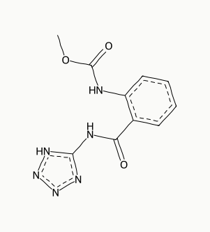 COC(=O)Nc1ccccc1C(=O)Nc1nnn[nH]1